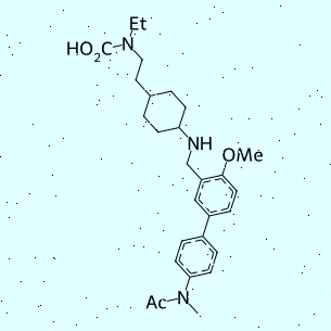 CCN(CCC1CCC(NCc2cc(-c3ccc(N(C)C(C)=O)cc3)ccc2OC)CC1)C(=O)O